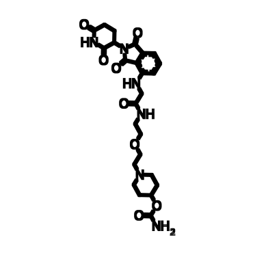 NC(=O)OC1CCN(CCOCCNC(=O)CNc2cccc3c2C(=O)N(C2CCC(=O)NC2=O)C3=O)CC1